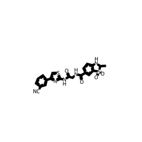 CC1Nc2ccc(C(=O)NCC(=O)Nc3nc(-c4cccc(C#N)c4)cs3)cc2S1(=O)=O